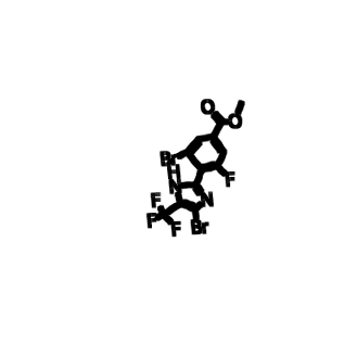 COC(=O)c1cc(F)c(-c2nc(Br)c(C(F)(F)F)[nH]2)c(Br)c1